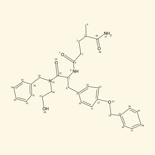 CC(C[CH]C(=O)NC(Cc1ccc(OCc2ccccc2)cc1)C(=O)N(CCO)Cc1ccccc1)C(N)=O